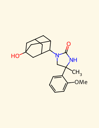 COc1ccccc1C1(C)CN(C2C3CC4CC2CC(O)(C4)C3)C(=O)N1